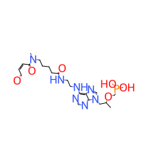 CC(Cn1cnc2c(NCCNC(=O)CCCCN(C)C(=O)/C=C\C=O)ncnc21)OCP(O)O